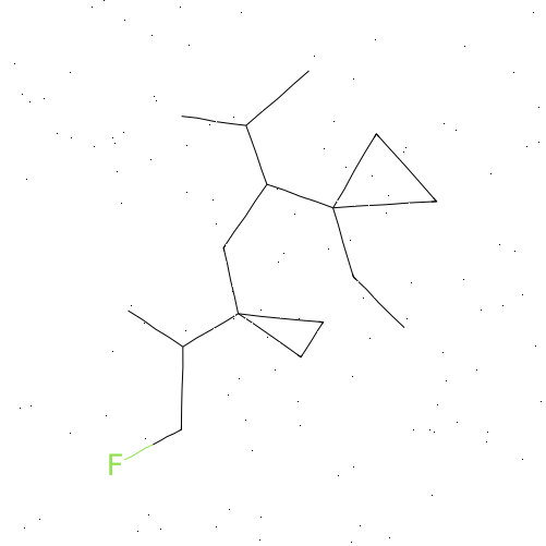 CCC1(C(CC2(C(C)CF)CC2)C(C)C)CC1